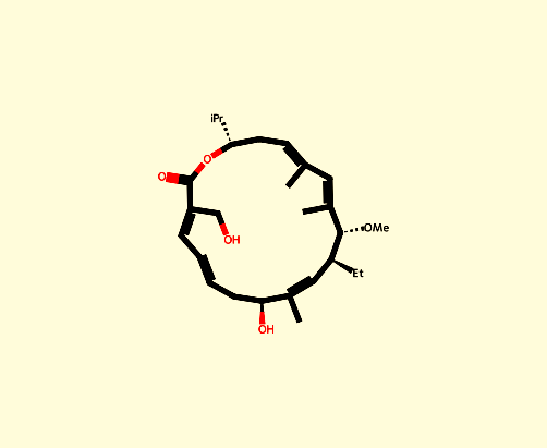 CC[C@H]1/C=C(/C)[C@@H](O)C/C=C/C=C(\CO)C(=O)O[C@H](C(C)C)C/C=C(C)/C=C(\C)[C@@H]1OC